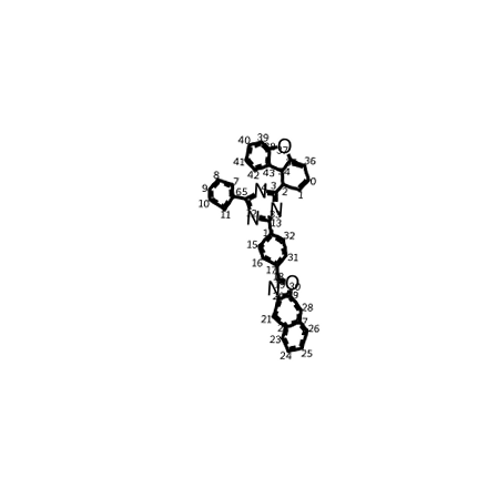 C1=CC(c2nc(-c3ccccc3)nc(-c3ccc(-c4nc5cc6ccccc6cc5o4)cc3)n2)C2C(=C1)Oc1ccccc12